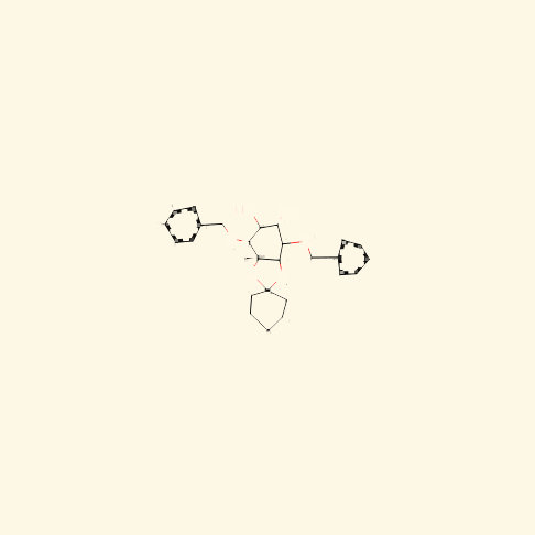 OC1[C@H](O)C(OCc2ccccc2)C2OC3(CCCCC3)O[C@@H]2[C@H]1OCc1ccccc1